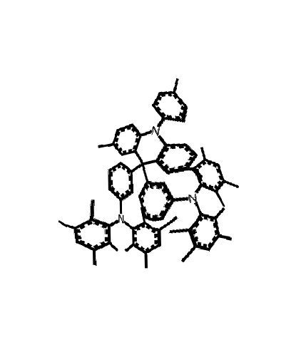 Cc1ccc(N2c3ccc(C)cc3C(c3cccc(N(c4c(C)c(C)cc(C)c4C)c4c(C)c(C)cc(C)c4C)c3)(c3cccc(N(c4c(C)c(C)cc(C)c4C)c4c(C)c(C)cc(C)c4C)c3)c3cc(C)ccc32)cc1